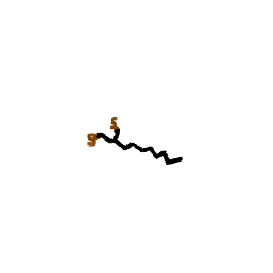 CCCCCCCCC(C=S)CC=S